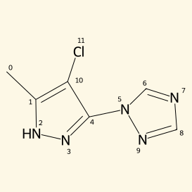 Cc1[nH]nc(-n2cncn2)c1Cl